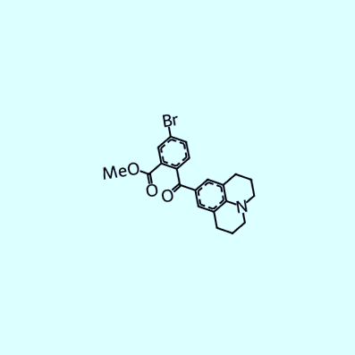 COC(=O)c1cc(Br)ccc1C(=O)c1cc2c3c(c1)CCCN3CCC2